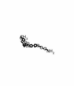 COc1cccc2c1CCC2n1cccc(C(=O)Nc2ccc(-c3ccc(OCCOCCOCCN)cc3)cc2)c1=O